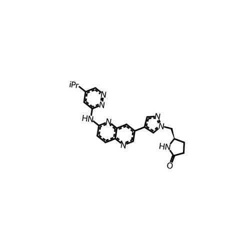 CC(C)c1cnnc(Nc2ccc3ncc(-c4cnn(C[C@H]5CCC(=O)N5)c4)cc3n2)c1